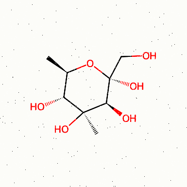 C[C@H]1O[C@@](O)(CO)[C@@H](O)[C@@](C)(O)[C@@H]1O